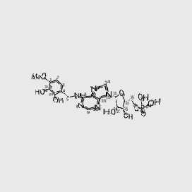 COc1ccc(CNc2ncnc3c2ncn3[C@@H]2O[C@H](COP(=O)(O)O)[C@@H](O)[C@H]2O)c(O)c1O